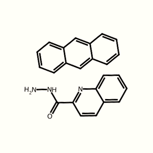 NNC(=O)c1ccc2ccccc2n1.c1ccc2cc3ccccc3cc2c1